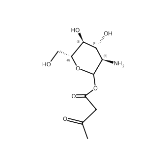 CC(=O)CC(=O)OC1O[C@H](CO)[C@@H](O)[C@H](O)[C@H]1N